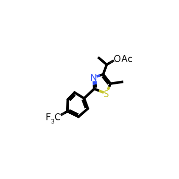 CC(=O)OC(C)c1nc(-c2ccc(C(F)(F)F)cc2)sc1C